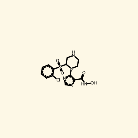 O=C(NO)c1scnc1N1CCNCC1S(=O)(=O)c1ccccc1Cl